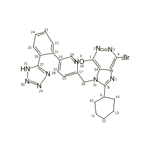 Oc1nnc(Br)c2nc(C3CCCCC3)n(Cc3ccc(-c4ccccc4-c4nnn[nH]4)cc3)c12